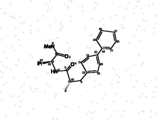 CNC(=O)[C@@H](NC(=O)[C@@H](C)Cc1ccc(-c2ccccc2)cc1)C(C)C